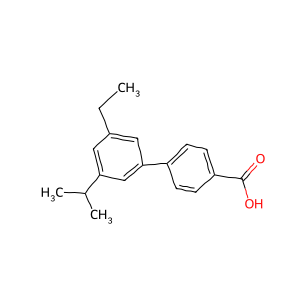 CCc1cc(-c2ccc(C(=O)O)cc2)cc(C(C)C)c1